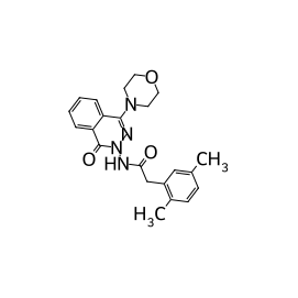 Cc1ccc(C)c(CC(=O)Nn2nc(N3CCOCC3)c3ccccc3c2=O)c1